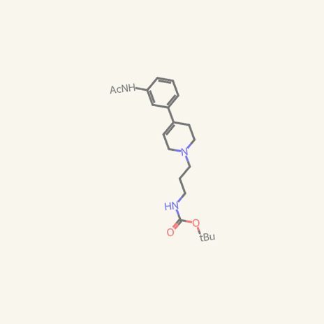 CC(=O)Nc1cccc(C2=CCN(CCCNC(=O)OC(C)(C)C)CC2)c1